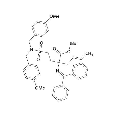 C/C=C/CC(CCS(=O)(=O)N(Cc1ccc(OC)cc1)Cc1ccc(OC)cc1)(N=C(c1ccccc1)c1ccccc1)C(=O)OC(C)(C)C